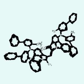 C=c1/c(=C\c2c(C)n3c4ccccc4c4c(N(c5cc(-c6ccccc6)ccc5C)c5cc(-c6ccccc6)ccc5C)ccc2c43)n2c3ccccc3c3c(N(c4cc(-c5ccccc5)ccc4C)c4cc(-c5ccccc5)ccc4C)ccc1c32